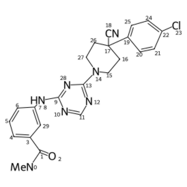 CNC(=O)c1cccc(Nc2ncnc(N3CCC(C#N)(c4ccc(Cl)cc4)CC3)n2)c1